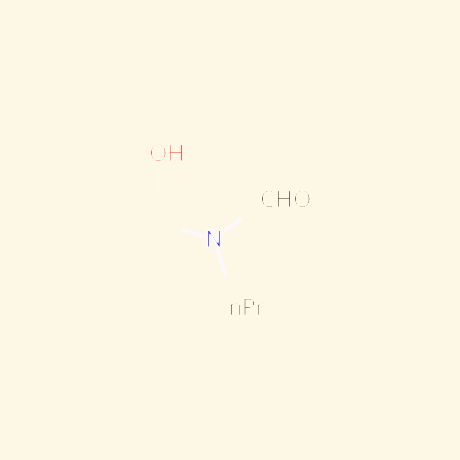 CCCN([CH]O)C=O